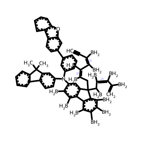 BC(=C)/C(B)=C(/B)C(B)C1(C/C(B)=C(B)\C(B)=C(\B)C#C)c2cc(N(c3cccc(-c4ccc5c(c4)oc4ccccc45)c3)c3ccc4c(c3)C(C)(C)c3ccccc3-4)c(B)c(B)c2-c2c(B)c(B)c(B)c(B)c21